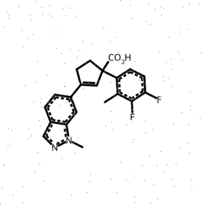 Cc1c(C2(C(=O)O)C=C(c3ccc4cnn(C)c4c3)CC2)ccc(F)c1F